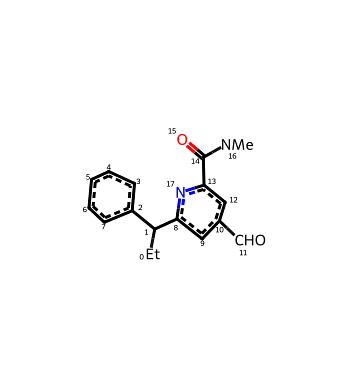 CCC(c1ccccc1)c1cc(C=O)cc(C(=O)NC)n1